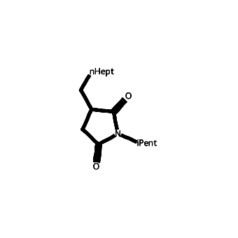 CCCCCCCCC1CC(=O)N(C(C)CCC)C1=O